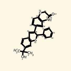 CC(C)(O)c1ccc2c(c1)SC(c1ccccc1)C(c1ccc3c(c1)NC(=O)CO3)=C2